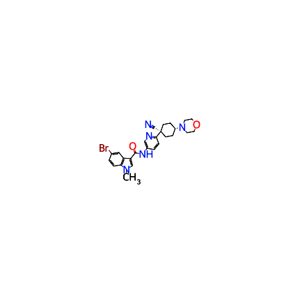 Cn1cc(C(=O)Nc2ccc([C@]3(C#N)CC[C@@H](N4CCOCC4)CC3)nc2)c2cc(Br)ccc21